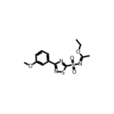 CCOC(C)=NS(=O)(=O)c1nc(-c2cccc(OC)c2)ns1